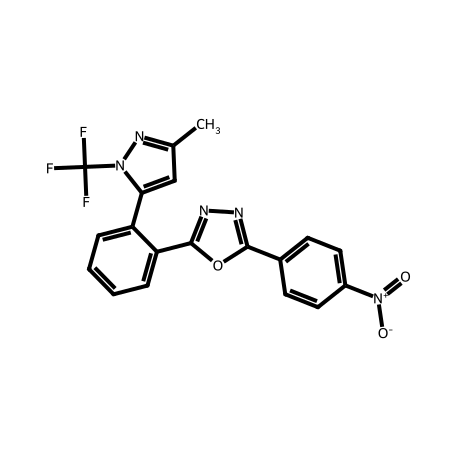 Cc1cc(-c2ccccc2-c2nnc(-c3ccc([N+](=O)[O-])cc3)o2)n(C(F)(F)F)n1